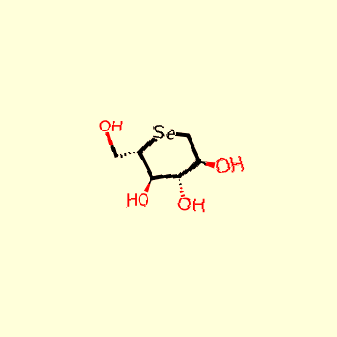 OC[C@@H]1[Se]C[C@@H](O)[C@H](O)[C@H]1O